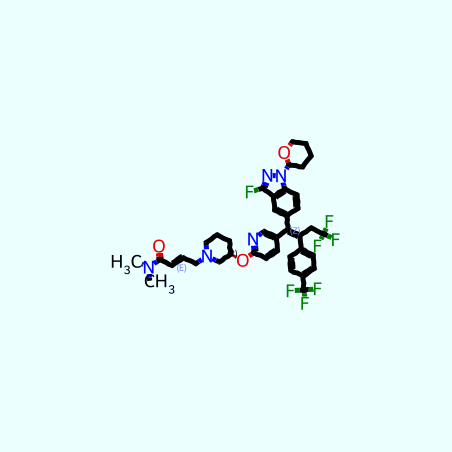 CN(C)C(=O)/C=C/CN1CCC[C@@H](Oc2ccc(/C(=C(/CC(F)(F)F)c3ccc(C(F)(F)F)cc3)c3ccc4c(c3)c(F)nn4C3CCCCO3)cn2)C1